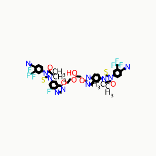 CC1(C)C(=O)N(c2ccc(C#N)c(C(F)(F)F)c2)C(=S)N1c1ccc2nc(OCC(O)OCCOc3ncnc4c(F)cc(N5C(=S)N(c6ccc(C#N)c(C(F)(F)F)c6)C(=O)C5(C)C)cc34)ncc2c1